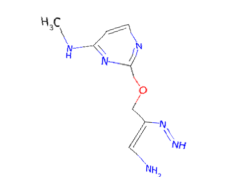 CNc1ccnc(OC/C(=C/N)N=N)n1